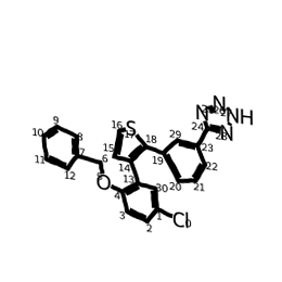 Clc1ccc(OCc2ccccc2)c(-c2ccsc2-c2cccc(-c3nn[nH]n3)c2)c1